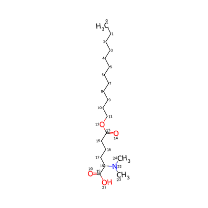 CCCCCCCCCCCCOC(=O)CCCC(C(=O)O)N(C)C